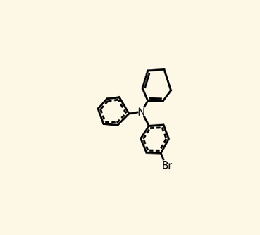 Brc1ccc(N(C2=CCCC=C2)c2ccccc2)cc1